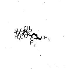 C=C(/C=C\C(F)=C/C)B1OC(C)(C)C(C)(C)O1